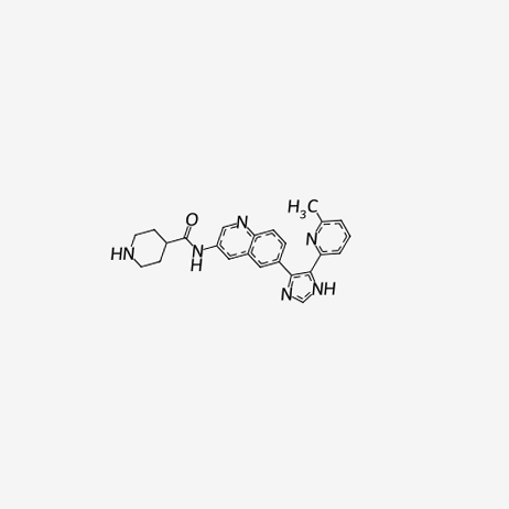 Cc1cccc(-c2[nH]cnc2-c2ccc3ncc(NC(=O)C4CCNCC4)cc3c2)n1